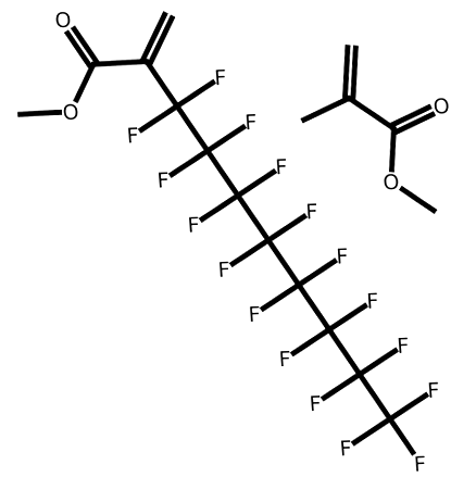 C=C(C(=O)OC)C(F)(F)C(F)(F)C(F)(F)C(F)(F)C(F)(F)C(F)(F)C(F)(F)C(F)(F)F.C=C(C)C(=O)OC